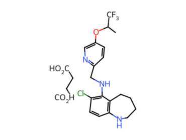 CC(Oc1ccc(CNc2c(Cl)ccc3c2CCCCN3)nc1)C(F)(F)F.O=C(O)CCC(=O)O